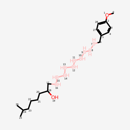 COc1ccc(CBBBBBBBBBBCC(O)CCCCC(C)C)cc1